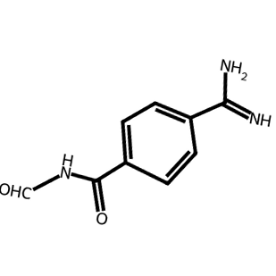 N=C(N)c1ccc(C(=O)NC=O)cc1